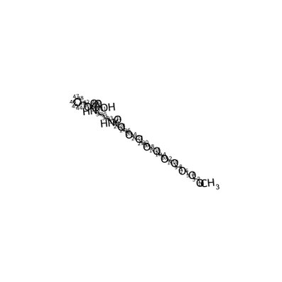 COCCOCCOCCOCCOCCOCCOCCOCCOCCOCC(=O)NCCCCC(NC(=O)OCc1ccccc1)C(=O)O